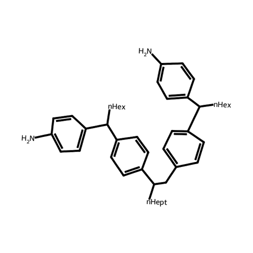 CCCCCCCC(Cc1ccc(C(CCCCCC)c2ccc(N)cc2)cc1)c1ccc(C(CCCCCC)c2ccc(N)cc2)cc1